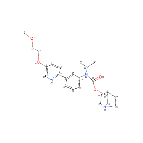 COCCOc1ccc(-c2cccc(N(C(=O)OC3CN4CCC3CC4)C(C)C)c2)nc1